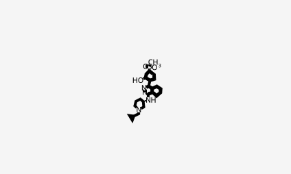 CS(=O)(=O)c1ccc(-c2nnc(N[C@@H]3CCCN(CC4CC4)C3)c3ccccc23)c(O)c1